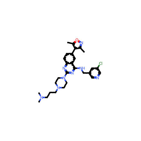 Cc1noc(C)c1-c1ccc2nc(N3CCN(CCCN(C)C)CC3)nc(NCc3cncc(Cl)c3)c2c1